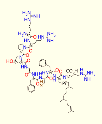 CC(C)=CCCC(C)=CCCC(C)=CCN(C(=O)[C@H](CC(C)C)NC(=O)[C@@H](Cc1ccccc1)NC(=O)C(CS)NC(=O)[C@H](Cc1ccccc1)NC(=O)CNC(=O)[C@@H]1C[C@H](O)CN1C(=O)[C@@H]1CCCN1C(=O)[C@H](CCCNC(=N)N)NC(=O)[C@H](N)CCCNC(=N)N)[C@@H](CCCNC(=N)N)C(=O)O